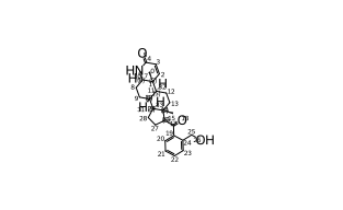 C[C@]12C=CC(=O)N[C@@H]1CC[C@@H]1[C@@H]2CC[C@]2(C)[C@@H](C(=O)c3ccccc3CO)CC[C@@H]12